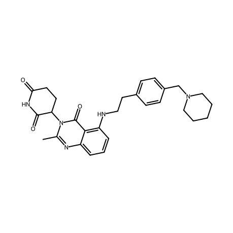 Cc1nc2cccc(NCCc3ccc(CN4CCCCC4)cc3)c2c(=O)n1C1CCC(=O)NC1=O